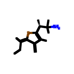 C=c1c(C)c([C@H](C)C(C)(C)N)s/c1=C(\C)CC